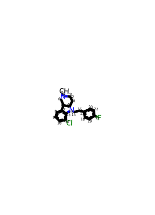 CN1CCC2C(C1)c1cccc(Cl)c1N2CCc1ccc(F)cc1